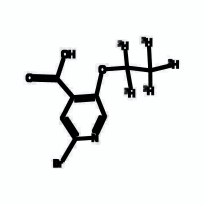 [2H]C([2H])([2H])C([2H])([2H])Oc1cnc(Br)cc1C(=O)O